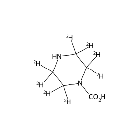 [2H]C1([2H])NC([2H])([2H])C([2H])([2H])N(C(=O)O)C1([2H])[2H]